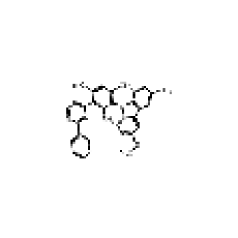 CSc1ccc2c(c1)c1cc(C)ccc1n2-c1c(C)cc(C)c(-c2ncnc(-c3ccccc3)n2)c1C